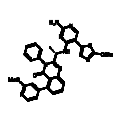 COc1cc(-c2cccc3nc([C@H](C)Nc4nc(N)ncc4-c4cnc(OC)s4)n(-c4ccccc4)c(=O)c23)ccn1